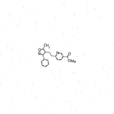 COC(=O)c1ccc(CCc2c(-c3ccccc3)noc2C)nc1